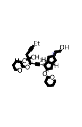 CCC#CCC(C)(C)[C@@H](C#C[C@@H]1[C@H]2C/C(=C/CO)C[C@H]2C[C@H]1OC1CCCCO1)OC1CCCCO1